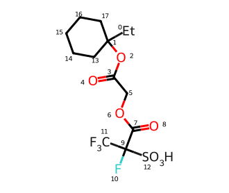 CCC1(OC(=O)COC(=O)C(F)(C(F)(F)F)S(=O)(=O)O)CCCCC1